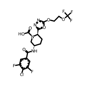 O=C(N[C@H]1CC[C@H](c2nnc(OCCOC(F)(F)F)o2)N(C(=O)O)C1)c1cc(F)c(Cl)c(F)c1